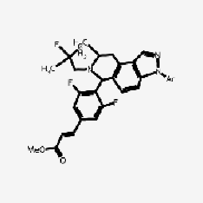 COC(=O)/C=C/c1cc(F)c(C2c3ccc4c(cnn4C(C)=O)c3CC(C)N2CC(C)(C)F)c(F)c1